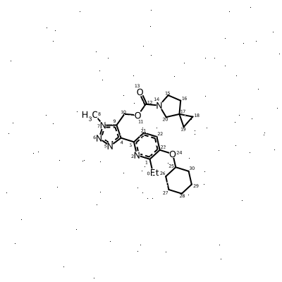 CCc1nc(-c2nnn(C)c2COC(=O)N2CCC3(CC3)C2)ccc1OC1CCCCC1